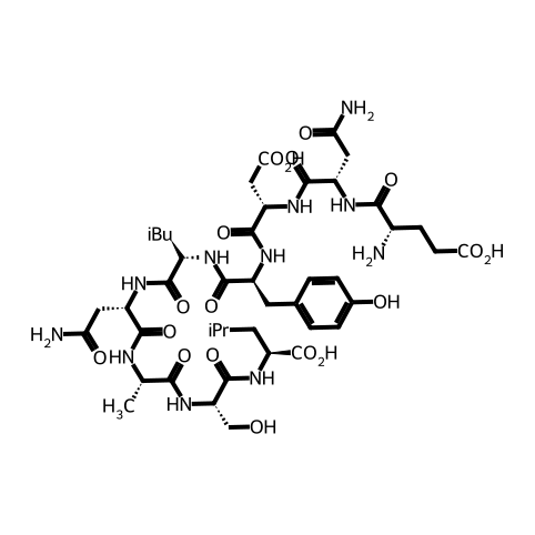 CC[C@H](C)[C@H](NC(=O)[C@H](Cc1ccc(O)cc1)NC(=O)[C@H](CC(=O)O)NC(=O)[C@H](CC(N)=O)NC(=O)[C@@H](N)CCC(=O)O)C(=O)N[C@@H](CC(N)=O)C(=O)N[C@@H](C)C(=O)N[C@@H](CO)C(=O)N[C@@H](CC(C)C)C(=O)O